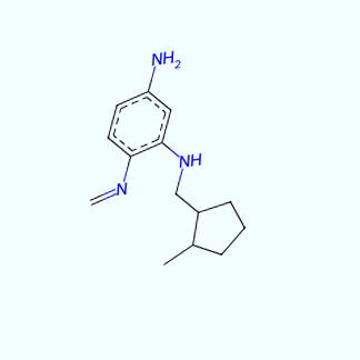 C=Nc1ccc(N)cc1NCC1CCCC1C